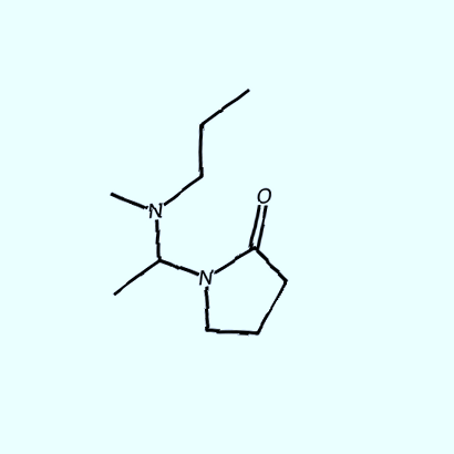 CCCN(C)C(C)N1CCCC1=O